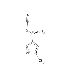 C[C@H](SC#N)c1cnn(C)c1